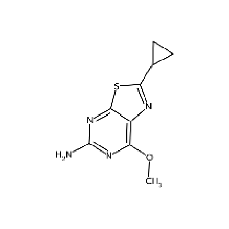 COc1nc(N)nc2sc(C3CC3)nc12